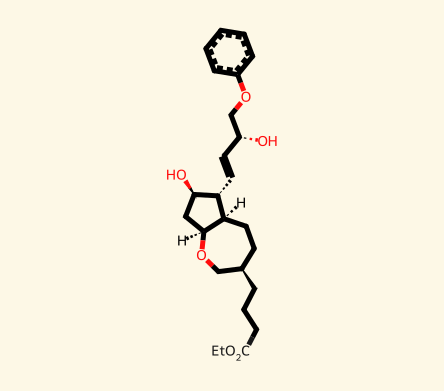 CCOC(=O)CCC[C@@H]1CC[C@@H]2[C@@H](/C=C/[C@@H](O)COc3ccccc3)[C@H](O)C[C@@H]2OC1